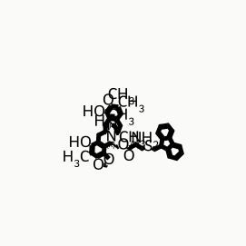 COc1c(C)cc2c(c1O)[C@H]1C3Cc4c(O)c(C)c5c(c4[C@H](COC(=O)[C@@H](N)CSCC4c6ccccc6-c6ccccc64)N3C(C)(C2)CN1C)OCO5